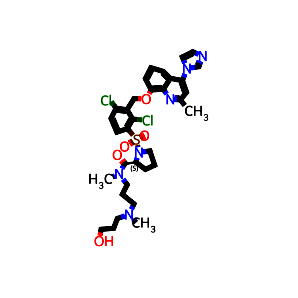 Cc1cc(-n2ccnc2)c2cccc(OCc3c(Cl)ccc(S(=O)(=O)N4CCC[C@H]4C(=O)N(C)CCCN(C)CCCO)c3Cl)c2n1